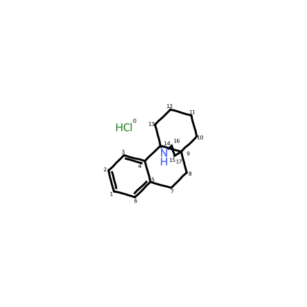 Cl.c1ccc2c(c1)CCC13CCCCC21NCC3